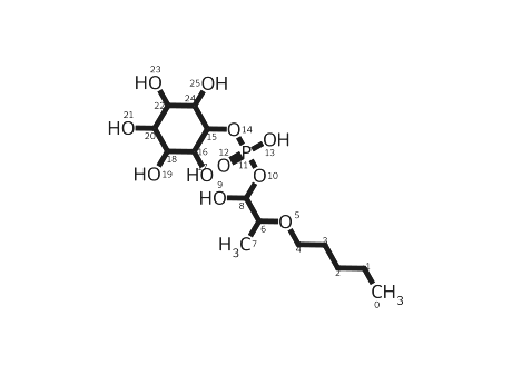 CCCCCOC(C)C(O)OP(=O)(O)OC1C(O)C(O)C(O)C(O)C1O